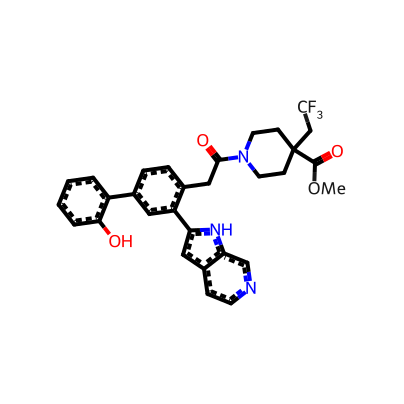 COC(=O)C1(CC(F)(F)F)CCN(C(=O)Cc2ccc(-c3ccccc3O)cc2-c2cc3ccncc3[nH]2)CC1